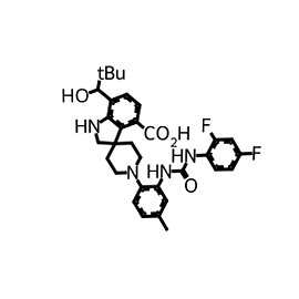 Cc1ccc(N2CCC3(CC2)CNc2c(C(O)C(C)(C)C)ccc(C(=O)O)c23)c(NC(=O)Nc2ccc(F)cc2F)c1